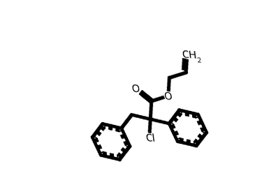 C=CCOC(=O)C(Cl)(Cc1ccccc1)c1ccccc1